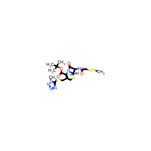 CSSCC(=O)NC1C(=O)N2C(C(=O)OC(C)(C)C)=C(CSc3nnnn3C)CS[C@H]12